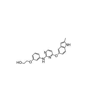 Cc1cc2cc(Oc3ccnc(Nc4cccc(OCCO)c4)n3)ccc2[nH]1